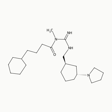 CN(C(=N)NC[C@@H]1CCC[C@@H](N2CCCC2)C1)C(=O)CCCC1CCCCC1